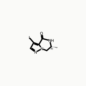 C[C@@H]1Cn2ncc(I)c2C(=O)N1